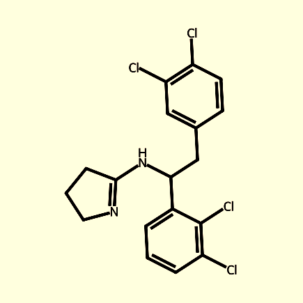 Clc1ccc(CC(NC2=NCCC2)c2cccc(Cl)c2Cl)cc1Cl